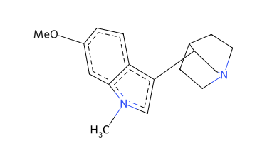 COc1ccc2c(C3CN4CCC3CC4)cn(C)c2c1